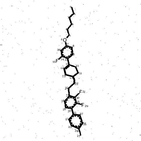 CCCCCCOc1ccc(C2=CCC(CCc3ccc(-c4ccc(C)cc4)c(F)c3F)CC2)c(F)c1